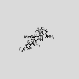 C=C(F)/C=C\C(=C/N)c1nc(Cl)c(C2C=C(OC)C(OC(C)c3ncc(C(F)(F)F)cc3F)=CC2)[nH]1